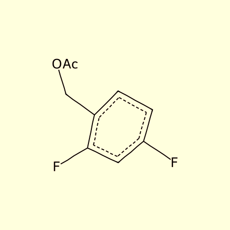 CC(=O)OCc1ccc(F)cc1F